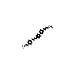 CCCCC[C@H]1CC[C@H](c2ccc(CCC=C[C@H]3CC[C@H](CCC)CC3)cc2)CC1